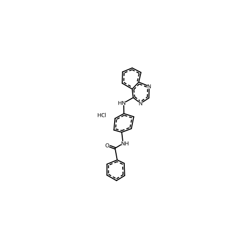 Cl.O=C(Nc1ccc(Nc2ncnc3ccccc23)cc1)c1ccccc1